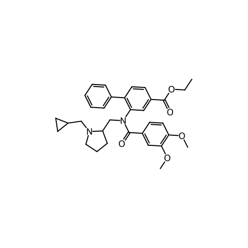 CCOC(=O)c1ccc(-c2ccccc2)c(N(CC2CCCN2CC2CC2)C(=O)c2ccc(OC)c(OC)c2)c1